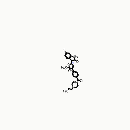 CC1(C)O/C(=C2/C(=O)Nc3cc(F)ccc32)C=C1c1ccc(C(=O)N2CCN(CCO)CC2)cc1